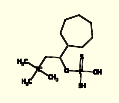 C[N+](C)(C)CC(OP(O)(=S)S)C1CCCCCC1